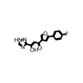 O=C(C=C(O)c1nc[nH]n1)c1coc(-c2ccc(F)cc2)c1